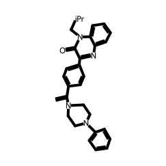 C=C(c1ccc(-c2nc3ccccc3n(CC(C)C)c2=O)cc1)N1CCN(c2ccccc2)CC1